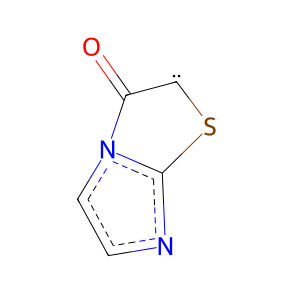 O=C1[C]Sc2nccn21